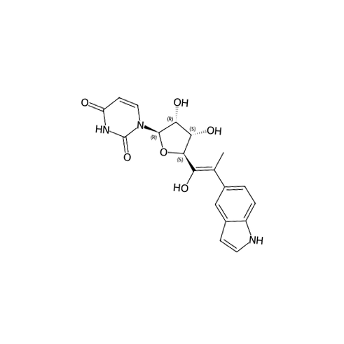 CC(=C(O)[C@H]1O[C@@H](n2ccc(=O)[nH]c2=O)[C@H](O)[C@@H]1O)c1ccc2[nH]ccc2c1